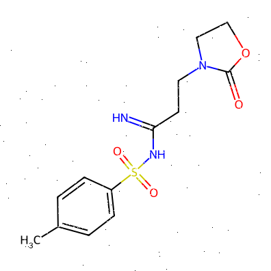 Cc1ccc(S(=O)(=O)NC(=N)CCN2CCOC2=O)cc1